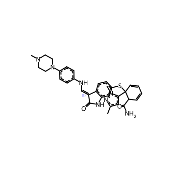 Cc1cc(C2(Sc3ccc4c(c3)NC(=O)/C4=C/Nc3ccc(N4CCN(C)CC4)cc3)C=CC=CC2C(N)=O)n(C)n1